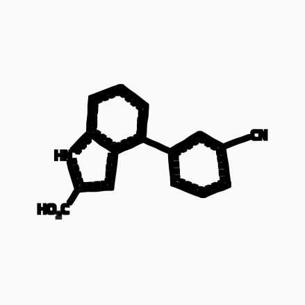 N#Cc1cccc(-c2cccc3[nH]c(C(=O)O)cc23)c1